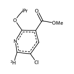 [2H]c1nc(OC(C)C)c(C(=O)OC)cc1Cl